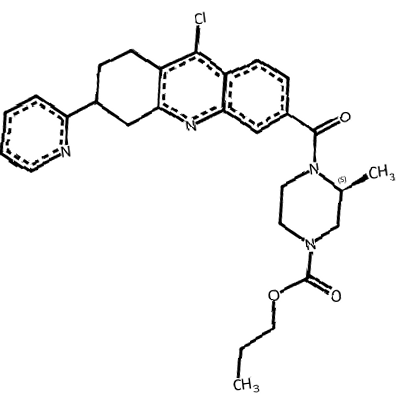 CCCOC(=O)N1CCN(C(=O)c2ccc3c(Cl)c4c(nc3c2)CC(c2ccccn2)CC4)[C@@H](C)C1